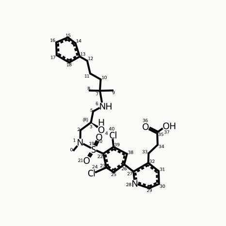 CN(C[C@H](O)CNC(C)(C)CCCc1ccccc1)S(=O)(=O)c1c(Cl)cc(-c2ncccc2CCC(=O)O)cc1Cl